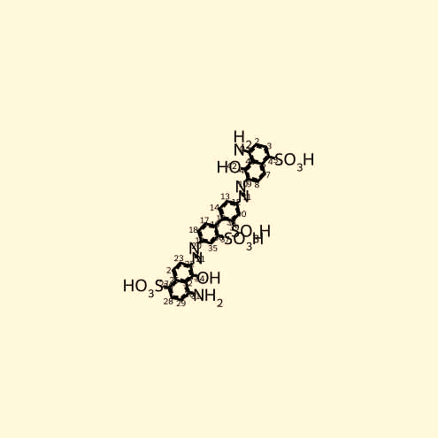 Nc1ccc(S(=O)(=O)O)c2ccc(/N=N/c3ccc(-c4ccc(/N=N/c5ccc6c(S(=O)(=O)O)ccc(N)c6c5O)cc4S(=O)(=O)O)c(S(=O)(=O)O)c3)c(O)c12